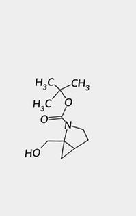 CC(C)(C)OC(=O)N1CCC2CC21CO